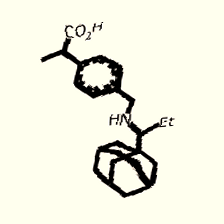 CCC(NCc1ccc(C(C)C(=O)O)cc1)C12CC3CC(CC(C3)C1)C2